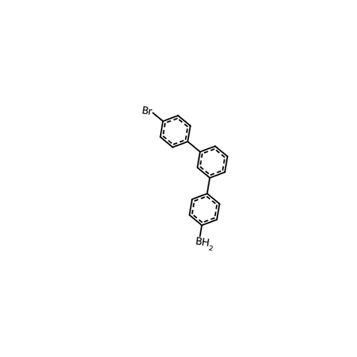 Bc1ccc(-c2cccc(-c3ccc(Br)cc3)c2)cc1